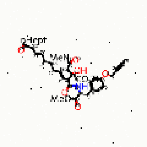 CC#CCOc1ccc(C[C@H](NC(=O)[C@@H](C=CCCCCCCC(=O)CCCCCCC)[C@@](O)(CC(=O)NC)C(=O)O)C(=O)OC)cc1